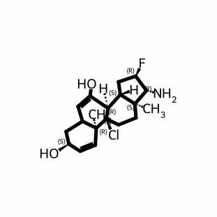 C[C@]12CC[C@@]3(Cl)[C@@H](C(O)=CC4C[C@H](O)C=C[C@@]43C)[C@@H]1C[C@@H](F)[C@@H]2N